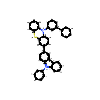 c1ccc(-c2cccc(N3c4ccccc4Sc4cc(-c5ccc6c(c5)c5ccccc5n6-c5ccccc5)ccc43)c2)cc1